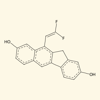 Oc1ccc2c(c1)Cc1c-2cc2ccc(O)cc2c1C=C(F)F